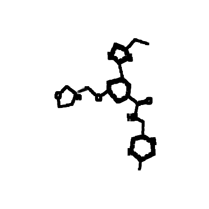 CCc1cnc(-c2cc(OC[C@@H]3CCOC3)cc(C(=O)NCc3cnc(C)cn3)c2)s1